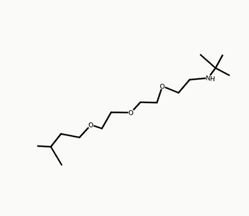 CC(C)CCOCCOCCOCCNC(C)(C)C